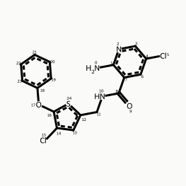 Nc1ncc(Cl)cc1C(=O)NCc1cc(Cl)c(Oc2ccccc2)s1